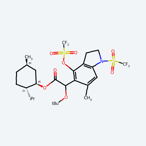 Cc1cc2c(c(OS(=O)(=O)C(F)(F)F)c1C(OC(C)(C)C)C(=O)O[C@@H]1C[C@H](C)CC[C@H]1C(C)C)CCN2S(=O)(=O)C(F)(F)F